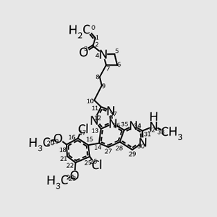 C=CC(=O)N1CCC1CCCc1nc2c(-c3c(Cl)c(OC)cc(OC)c3Cl)cc3cnc(NC)nc3n2n1